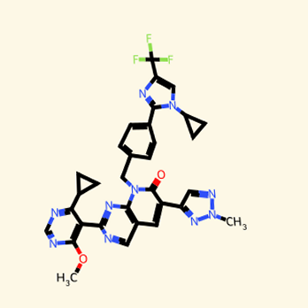 COc1ncnc(C2CC2)c1-c1ncc2cc(-c3cnn(C)n3)c(=O)n(Cc3ccc(-c4nc(C(F)(F)F)cn4C4CC4)cc3)c2n1